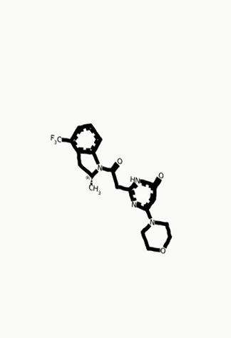 C[C@@H]1Cc2c(cccc2C(F)(F)F)N1C(=O)Cc1nc(N2CCOCC2)cc(=O)[nH]1